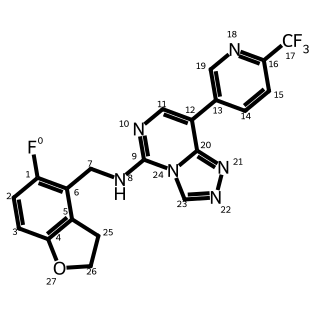 Fc1ccc2c(c1CNc1ncc(-c3ccc(C(F)(F)F)nc3)c3nncn13)CCO2